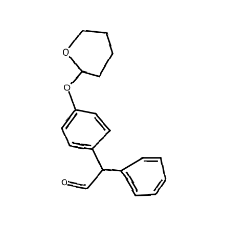 O=CC(c1ccccc1)c1ccc(OC2CCCCO2)cc1